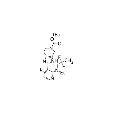 CCN(CC(C)(F)F)c1nccc(I)c1-c1nc2c([nH]1)CN(C(=O)OC(C)(C)C)CC2